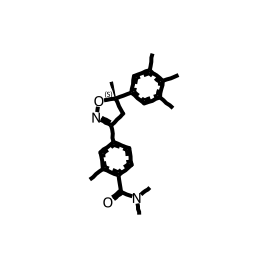 Cc1cc(C2=NO[C@](C)(c3cc(C)c(C)c(C)c3)C2)ccc1C(=O)N(C)C